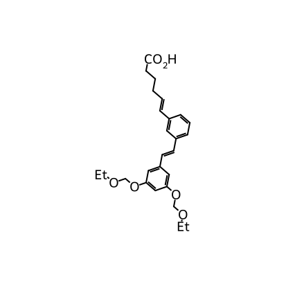 CCOCOc1cc(C=Cc2cccc(C=CCCCC(=O)O)c2)cc(OCOCC)c1